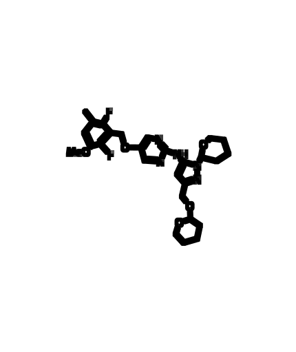 COc1cc(C)c(F)c(COc2cnc(Nc3cc(COC4CCCCO4)nn3C3CCCCO3)nc2)c1F